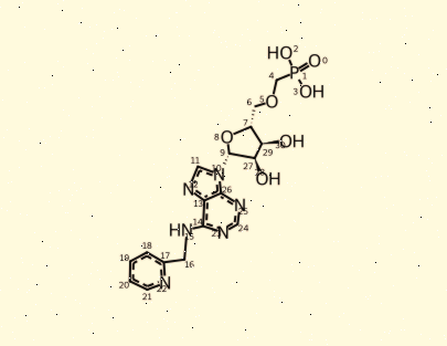 O=P(O)(O)COC[C@H]1O[C@@H](n2cnc3c(NCc4ccccn4)ncnc32)[C@H](O)[C@@H]1O